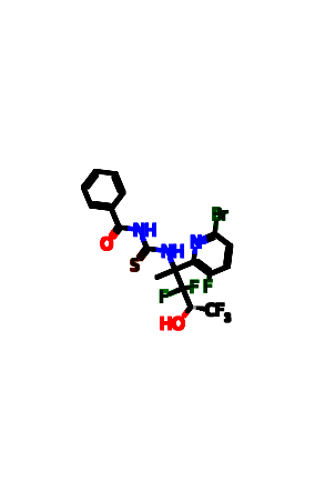 CC(NC(=S)NC(=O)c1ccccc1)(c1nc(Br)ccc1F)C(F)(F)[C@@H](O)C(F)(F)F